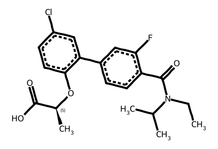 CCN(C(=O)c1ccc(-c2cc(Cl)ccc2O[C@@H](C)C(=O)O)cc1F)C(C)C